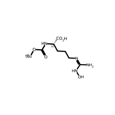 CC(C)(C)OC(=O)N[C@@H](CCCN=C(N)NO)C(=O)O